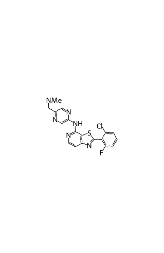 CNCc1cnc(Nc2nccc3nc(-c4c(F)cccc4Cl)sc23)cn1